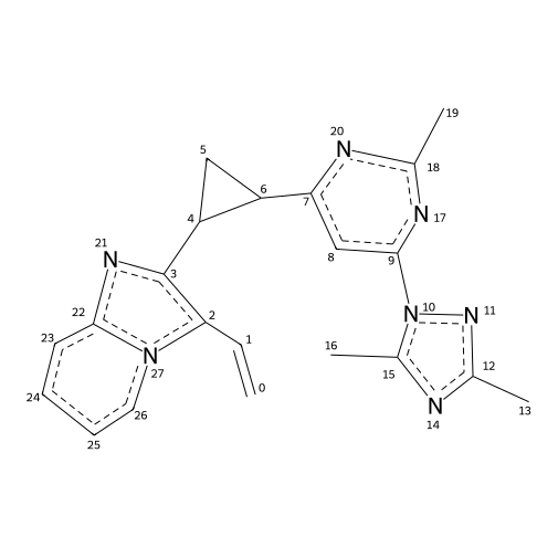 C=Cc1c(C2CC2c2cc(-n3nc(C)nc3C)nc(C)n2)nc2ccccn12